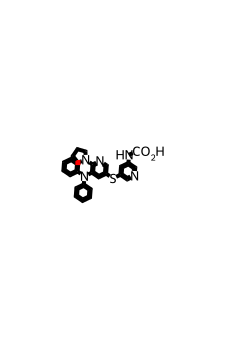 O=C(O)Nc1cncc(Sc2cnc(N3CCCC3)c(N(c3ccccc3)c3ccccc3)c2)c1